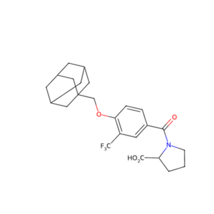 O=C(O)C1CCCN1C(=O)c1ccc(OCC23CC4CC(CC(C4)C2)C3)c(C(F)(F)F)c1